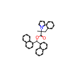 CC(Cc1ccccc1)(C(=O)OC(c1cccc2ccccc12)c1cccc2ccccc12)n1cccc1